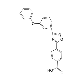 O=C(O)c1ccc(-c2nc(-c3cccc(Oc4ccccc4)c3)no2)cc1